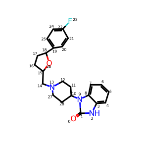 O=c1[nH]c2ccccc2n1C1CCN(CC2CCC(c3ccc(F)cc3)O2)CC1